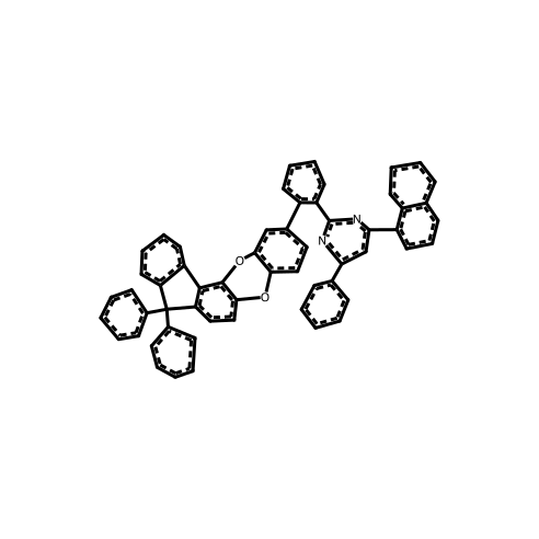 c1ccc(-c2cc(-c3cccc4ccccc34)nc(-c3ccccc3-c3ccc4c(c3)Oc3c(ccc5c3-c3ccccc3C5(c3ccccc3)c3ccccc3)O4)n2)cc1